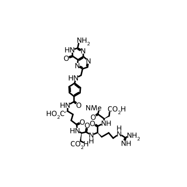 CNC(=O)[C@@H](CC(=O)O)NC(=O)[C@@H](CCCNC(=N)N)NC(=O)[C@@H](CC(=O)O)NC(=O)CC[C@@H](NC(=O)c1ccc(NCc2cnc3nc(N)[nH]c(=O)c3n2)cc1)C(=O)O